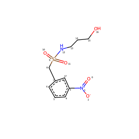 O=[N+]([O-])c1cccc(CS(=O)(=O)NCCCO)c1